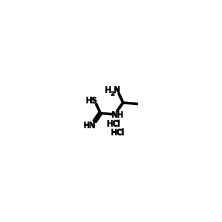 CC(N)NC(=N)S.Cl.Cl